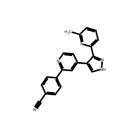 Cc1cccc(-c2n[nH]cc2-c2ccnc(-c3ccc(C#N)cc3)c2)n1